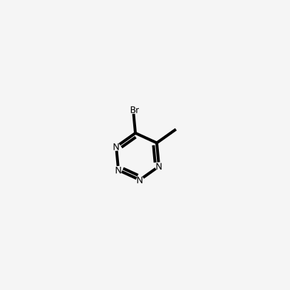 Cc1nnnnc1Br